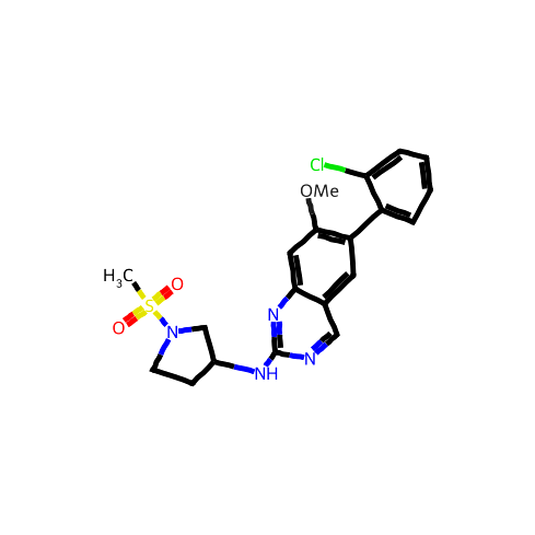 COc1cc2nc(NC3CCN(S(C)(=O)=O)C3)ncc2cc1-c1ccccc1Cl